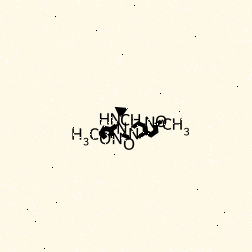 COc1ccc2c(n1)CCN(C(=O)c1nc(NC3(C)CC3)c3cc(C)oc3n1)C2